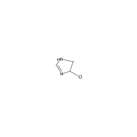 ClC1[C]NC=N1